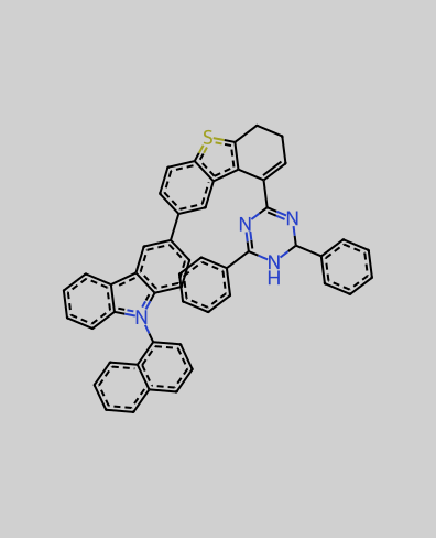 C1=C(C2=NC(c3ccccc3)NC(c3ccccc3)=N2)c2c(sc3ccc(-c4ccc5c(c4)c4ccccc4n5-c4cccc5ccccc45)cc23)CC1